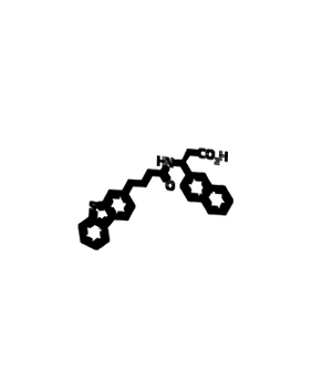 O=C(O)C[C@H](NC(=O)CCCc1ccc2c(c1)sc1ccccc12)c1ccc2ccccc2c1